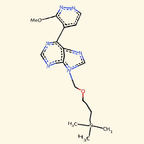 COc1nnccc1-c1ncnc2c1ncn2COCC[Si](C)(C)C